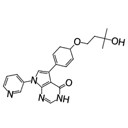 CC(C)(O)CCOC1C=CC(c2cn(-c3cccnc3)c3nc[nH]c(=O)c23)=CC1